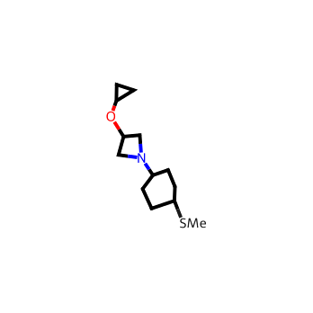 CSC1CCC(N2CC(OC3CC3)C2)CC1